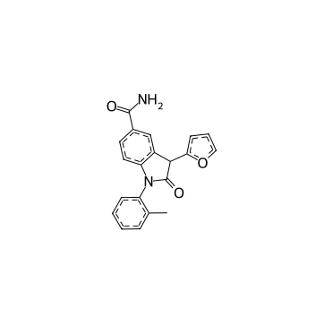 Cc1ccccc1N1C(=O)C(c2ccco2)c2cc(C(N)=O)ccc21